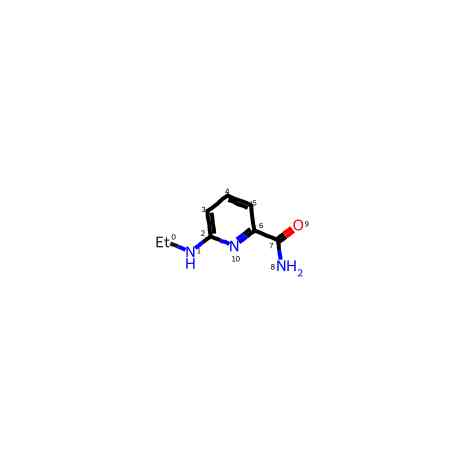 CCNc1cc[c]c(C(N)=O)n1